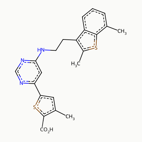 Cc1cc(-c2cc(NCCc3c(C)sc4c(C)cccc34)ncn2)sc1C(=O)O